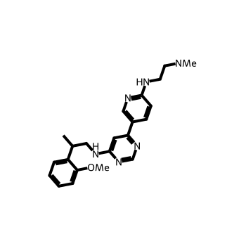 CNCCNc1ccc(-c2cc(NCC(C)c3ccccc3OC)ncn2)cn1